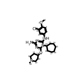 COc1ccc(NC2=NC(N)=NC(OC3CCN(C)CC3)N2C2CCCCCC2)cc1Cl